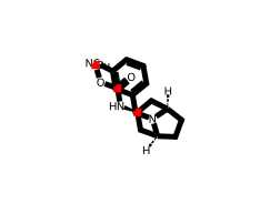 CC(C)(C)OC(=O)N[C@H]1C[C@H]2CC[C@@H](C1)N2Cc1cccc(C#N)c1